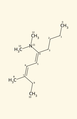 CCCC/C(=C/C=C(/C)CC)N(C)C